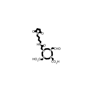 O=CCN1CCN(CC(=O)O)CCN(CC(=O)O)CCN(CC(=O)NCCCCN2C(=O)C=CC2=O)CC1